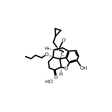 CCCCO[C@@]12CCC(=O)[C@@H]3Oc4c(O)ccc5c4[C@@]31CC[N+]([O-])(CC1CC1)[C@@H]2C5.Cl